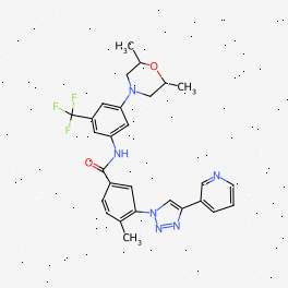 Cc1ccc(C(=O)Nc2cc(N3CC(C)OC(C)C3)cc(C(F)(F)F)c2)cc1-n1cc(-c2cccnc2)nn1